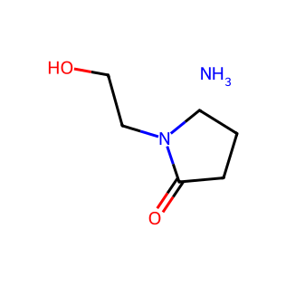 N.O=C1CCCN1CCO